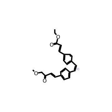 CCOC(=O)C=Cc1ccc(/C=C\c2ccc(C=CC(=O)COC)cc2)cc1